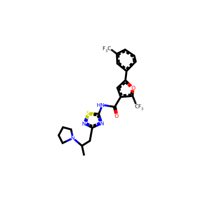 CC(Cc1nsc(NC(=O)c2cc(-c3cccc(C(F)(F)F)c3)oc2C(F)(F)F)n1)N1CCCC1